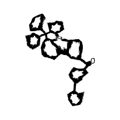 O=C(c1ccc(-c2ccccc2)cc1)c1ccc2c(c1)c1cccc3c1n2-c1ccccc1C3(c1ccccc1)c1ccccc1